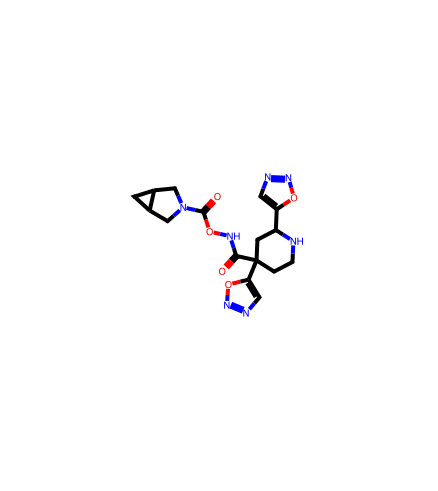 O=C(ONC(=O)C1(c2cnno2)CCNC(c2cnno2)C1)N1CC2CC2C1